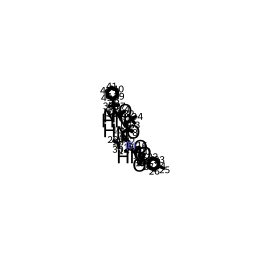 CN[C@H](C(=O)N[C@H](C(=O)N(C)[C@H](/C=C(\C)C(=O)NS(=O)(=O)c1ccc(C)cc1)C(C)C)C(C)(C)C)C(C)(C)c1ccccc1